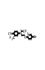 [C-]#[N+]c1ccc(N(CCOc2ccc(Br)cn2)CC(F)(F)F)cc1C(F)(F)F